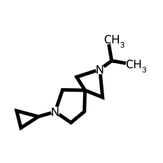 CC(C)N1CC2(CCN(C3CC3)C2)C1